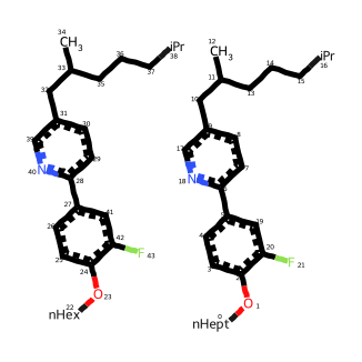 CCCCCCCOc1ccc(-c2ccc(CC(C)CCCC(C)C)cn2)cc1F.CCCCCCOc1ccc(-c2ccc(CC(C)CCCC(C)C)cn2)cc1F